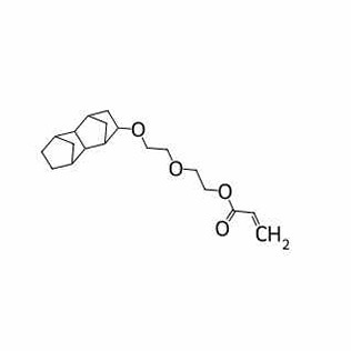 C=CC(=O)OCCOCCOC1CC2CC1C1C3CCC(C3)C21